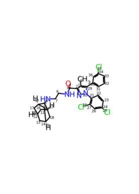 Cc1c(C(=O)NCCNC2[C@H]3C[C@@H]4C[C@@H](C[C@H]2C4)C3)nn(-c2ccc(Cl)cc2Cl)c1-c1cccc(Cl)c1